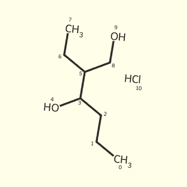 CCCC(O)C(CC)CO.Cl